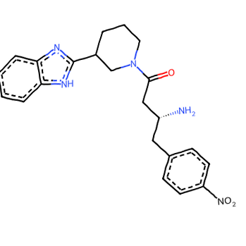 N[C@@H](CC(=O)N1CCCC(c2nc3ccccc3[nH]2)C1)Cc1ccc([N+](=O)[O-])cc1